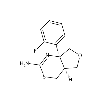 NC1=N[C@@]2(c3ccccc3F)COC[C@H]2CS1